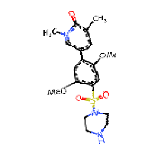 COc1cc(S(=O)(=O)N2CCNCC2)c(OC)cc1-c1cc(C)c(=O)n(C)c1